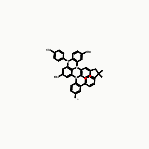 CC1(C)Cc2cc3c(cc2C1)N(c1ccc(C(C)(C)C)cc1-c1ccccc1)c1cc(C(C)(C)C)cc2c1B3c1cc(C(C)(C)C)ccc1N2c1ccc(C(C)(C)C)cc1